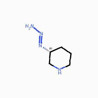 NN=N[C@@H]1CCCNC1